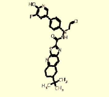 CC(C)(C)C1CCc2nc3sc(C(=O)N[C@H](CC=O)c4ccc(-c5cnc(O)c(F)c5)cc4)nc3cc2C1